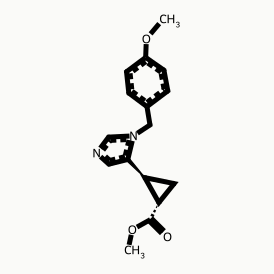 COC(=O)[C@H]1C[C@@H]1c1cncn1Cc1ccc(OC)cc1